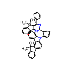 CC1(C)c2ccccc2-c2ccc3c(c21)c1ccccc1n3-c1ccccc1-c1nc(-c2ccccc2)c2c(n1)-c1ccccc1[Si]2(C)C